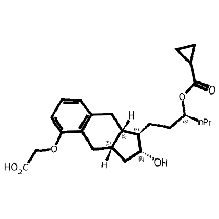 CCC[C@@H](CC[C@@H]1[C@H]2Cc3cccc(OCC(=O)O)c3C[C@H]2C[C@H]1O)OC(=O)C1CC1